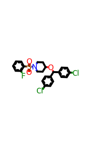 O=S(=O)(c1ccccc1F)N1CCC(OC(c2ccc(Cl)cc2)c2ccc(Cl)cc2)CC1